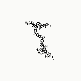 CNC(=O)COc1cc2cc(Nc3nc(N4CCC(C(=O)N5CCC6(CCC(C(=O)N7CCC(n8nc(N9CCCc%10cc(-c%11cnn(C)c%11)c(C(F)F)cc%109)c9c8CCN(C(=O)NC)C9)CC7)CC6)CC5)CC4)ncc3Cl)cc(OC)c2n(C)c1=O